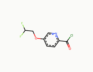 O=C(Cl)c1ccc(OCC(F)F)cn1